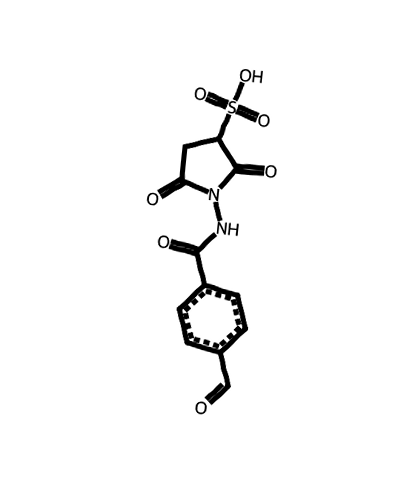 O=Cc1ccc(C(=O)NN2C(=O)CC(S(=O)(=O)O)C2=O)cc1